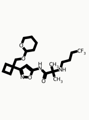 CC(C)(NCCCC(F)(F)F)C(=O)Nc1cc(C2(COC3CCCCO3)CCC2)no1